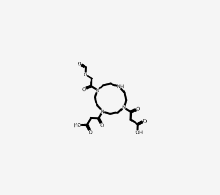 O=COCC(=O)N1CCNCCN(C(=O)CC(=O)O)CCN(C(=O)CC(=O)O)CC1